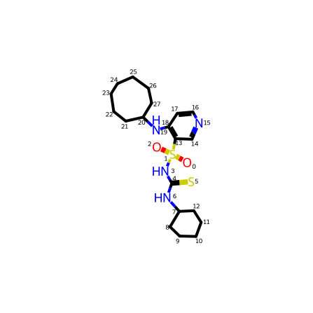 O=S(=O)(NC(=S)NC1CCCCC1)c1cnccc1NC1CCCCCCC1